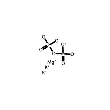 O=P([O-])([O-])OP(=O)([O-])[O-].[K+].[K+].[Mg+2]